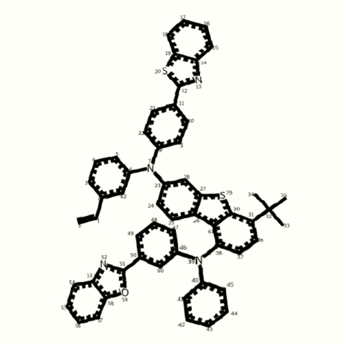 C=Cc1cccc(N(c2ccc(-c3nc4ccccc4s3)cc2)c2ccc3c(c2)sc2c(C(C)(C)C)ccc(N(c4ccccc4)c4cccc(-c5nc6ccccc6o5)c4)c23)c1